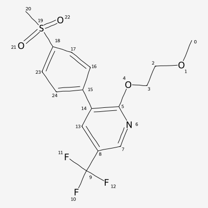 COCCOc1ncc(C(F)(F)F)cc1-c1ccc(S(C)(=O)=O)cc1